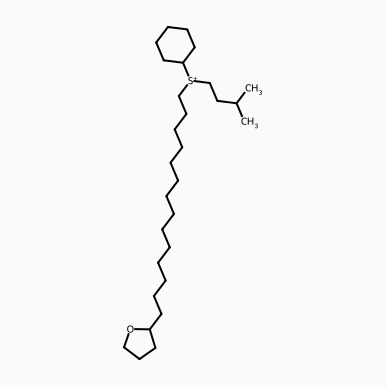 CC(C)CC[S+](CCCCCCCCCCCCCCC1CCCO1)C1CCCCC1